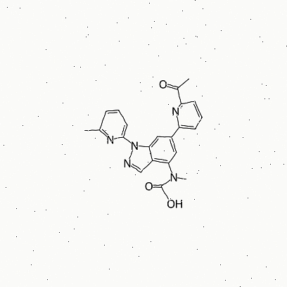 CC(=O)c1cccc(-c2cc(N(C)C(=O)O)c3cnn(-c4cccc(C)n4)c3c2)n1